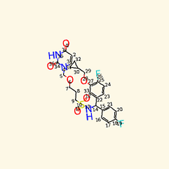 O=c1ccn(COCCCS(=O)(=O)N[C@H](c2ccc(F)cc2)c2ccc(F)c(OCC3CC3)c2)c(=O)[nH]1